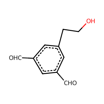 O=Cc1cc(C=O)cc(CCO)c1